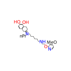 CCCN(CCCCCCNCCOc1ncccc1OC)[C@H]1CCc2c(ccc(O)c2O)C1